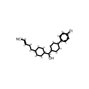 CCc1ccc(C2CCC(C(O)C3CCC(CCC=CC#N)CC3)CC2)cc1